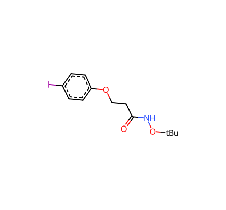 CC(C)(C)ONC(=O)CCOc1ccc(I)cc1